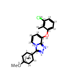 COC12CCC(c3nnc4c(Oc5cccc(Cl)c5C)cccn34)(CC1)CC2